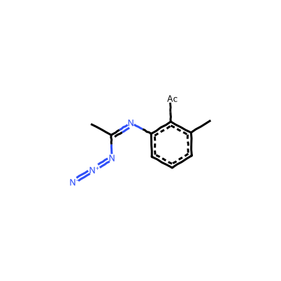 CC(=O)c1c(C)cccc1/N=C(/C)N=[N+]=[N-]